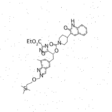 CCOC(=O)c1noc(C(Cc2cc(C)c3nn(COCC[Si](C)(C)C)cc3c2)OC(=O)N2CCC(c3cc4ccccc4[nH]c3=O)CC2)n1